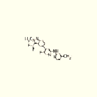 [CH2]c1ccnc(Nc2cc(-c3ccc4nn(C)c(C(F)F)c4c3)c(F)cn2)c1